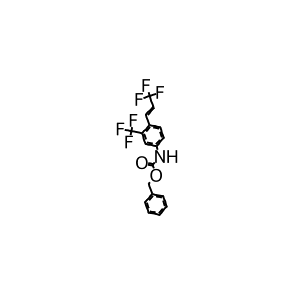 O=C(Nc1ccc(/C=C/C(F)(F)F)c(C(F)(F)F)c1)OCc1ccccc1